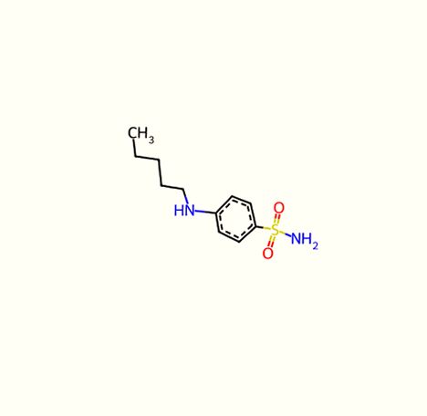 CCCCCNc1ccc(S(N)(=O)=O)cc1